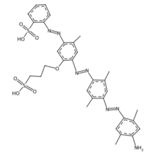 Cc1cc(N=Nc2cc(C)c(N=Nc3cc(C)c(N=Nc4ccccc4S(=O)(=O)O)cc3OCCCS(=O)(=O)O)cc2C)c(C)cc1N